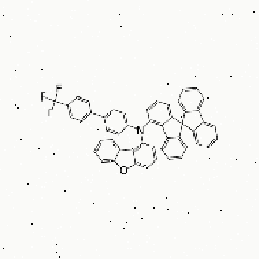 FC(F)(F)c1ccc(-c2ccc(N(c3cccc4c3-c3ccccc3C43c4ccccc4-c4ccccc43)c3cccc4oc5ccccc5c34)cc2)cc1